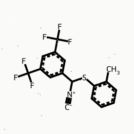 [C-]#[N+]C(Sc1ccccc1C)c1cc(C(F)(F)F)cc(C(F)(F)F)c1